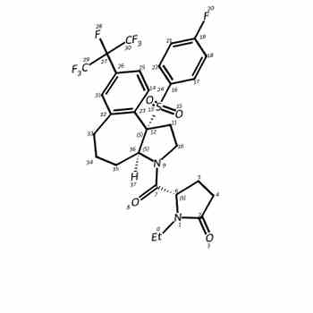 CCN1C(=O)CC[C@H]1C(=O)N1CC[C@]2(S(=O)(=O)c3ccc(F)cc3)c3ccc(C(F)(C(F)(F)F)C(F)(F)F)cc3CCC[C@H]12